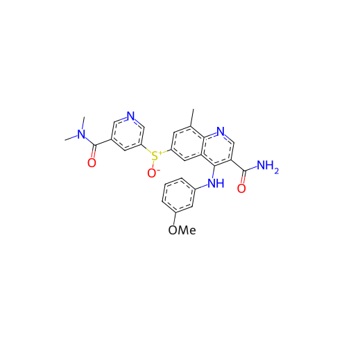 COc1cccc(Nc2c(C(N)=O)cnc3c(C)cc([S+]([O-])c4cncc(C(=O)N(C)C)c4)cc23)c1